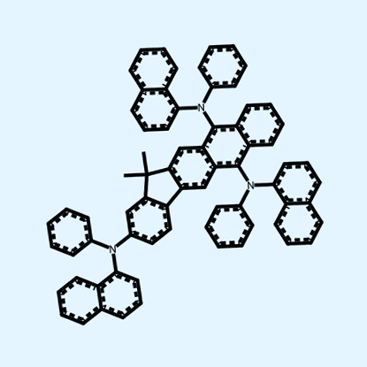 CC1(C)c2cc(N(c3ccccc3)c3cccc4ccccc34)ccc2-c2cc3c(N(c4ccccc4)c4cccc5ccccc45)c4ccccc4c(N(c4ccccc4)c4cccc5ccccc45)c3cc21